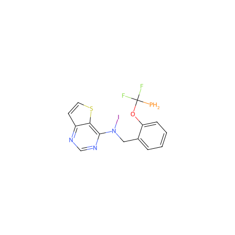 FC(F)(P)Oc1ccccc1CN(I)c1ncnc2ccsc12